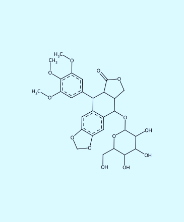 COc1cc(C2c3cc4c(cc3C(OC3OC(CO)C(O)C(O)C3O)C3COC(=O)C23)OCO4)cc(OC)c1OC